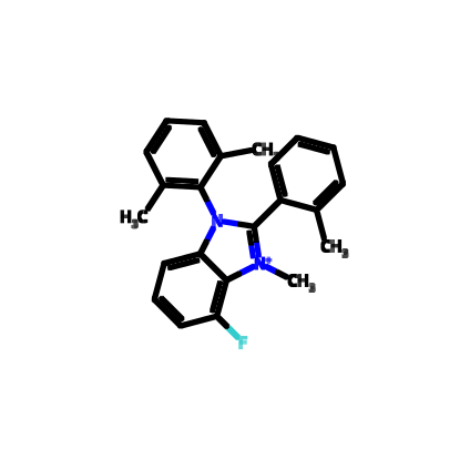 Cc1ccccc1-c1n(-c2c(C)cccc2C)c2cccc(F)c2[n+]1C